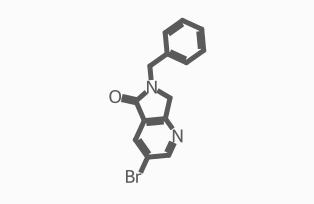 O=C1c2cc(Br)cnc2CN1Cc1ccccc1